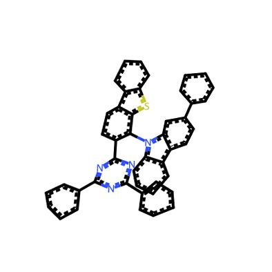 c1ccc(-c2ccc3c4ccccc4n(-c4c(-c5nc(-c6ccccc6)nc(-c6ccccc6)n5)ccc5c4sc4ccccc45)c3c2)cc1